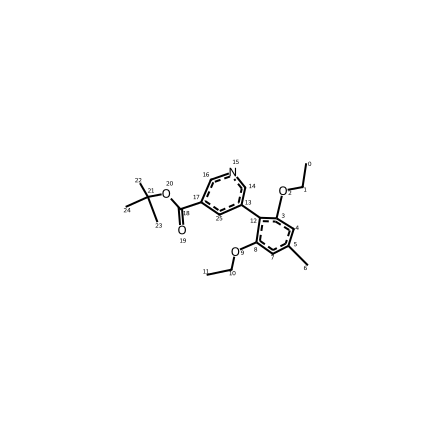 CCOc1cc(C)cc(OCC)c1-c1cncc(C(=O)OC(C)(C)C)c1